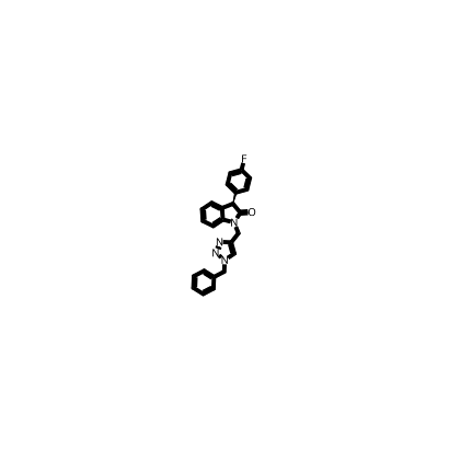 O=C1[C@H](c2ccc(F)cc2)c2ccccc2N1Cc1cn(Cc2ccccc2)nn1